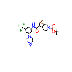 CN1CCN(c2cc(NC(=O)c3csc4c3CCN(C(=O)OC(C)(C)C)C4)cc(C(F)(F)F)c2)CC1